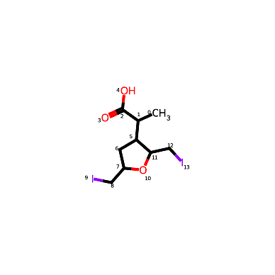 CC(C(=O)O)C1CC(CI)OC1CI